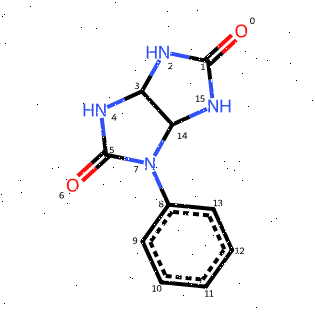 O=C1NC2NC(=O)N(c3ccccc3)C2N1